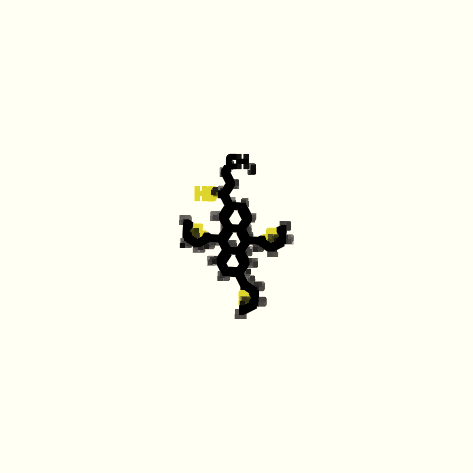 CCCC(S)c1ccc2c(C3C4C5CS534)c3cc(C4C5C6CS645)ccc3c(C3C4C5CS534)c2c1